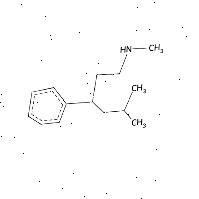 CNCCC(CC(C)C)c1ccccc1